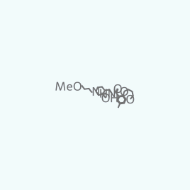 COCCCCN1CCC(CNC(=O)c2cc(C)cc3c2OCCCO3)C(O)C1